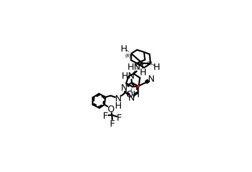 N#Cc1cnc(NCc2ccccc2OC(F)(F)F)nc1NC[C@@]12CC3C[C@H](C1)[C@@H](N[C@H]1CC[C@@H](O)CC1)[C@@H](C3)C2